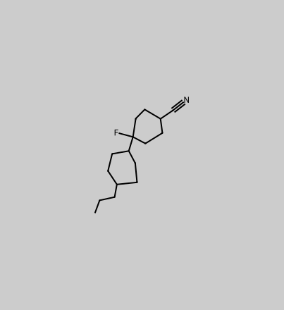 CCCC1CCC(C2(F)CCC(C#N)CC2)CC1